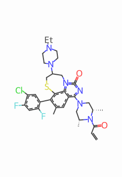 C=CC(=O)N1[C@H](C)CN(c2nc(=O)n3c4c(c(-c5cc(Cl)c(F)cc5F)c(C)cc24)SCC(N2CCN(CC)CC2)C3)C[C@@H]1C